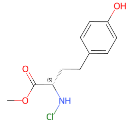 COC(=O)[C@H](CCc1ccc(O)cc1)NCl